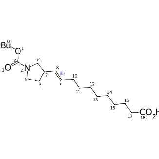 CC(C)(C)OC(=O)N1CCC(/C=C/CCCCCCCCC(=O)O)C1